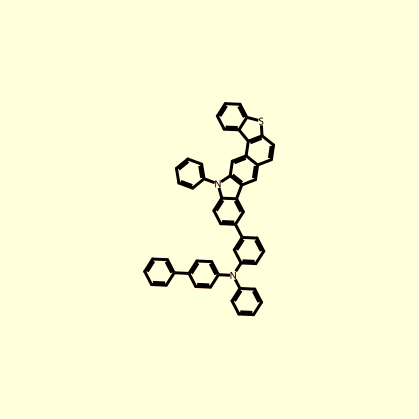 c1ccc(-c2ccc(N(c3ccccc3)c3cccc(-c4ccc5c(c4)c4cc6ccc7sc8ccccc8c7c6cc4n5-c4ccccc4)c3)cc2)cc1